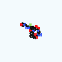 CC(C)(C)OC(=O)N[C@@H]1CCN(C(=O)c2cn3c4c(c(NCCCN5CCOCC5)c(F)cc4c2=O)Oc2cc4ccccc4cc2-3)C1